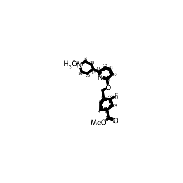 COC(=O)c1ccc(COc2cccc(C3CCN(C)CC3)n2)c(F)c1